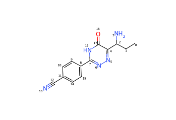 CCC(N)c1nnc(-c2ccc(C#N)cc2)[nH]c1=O